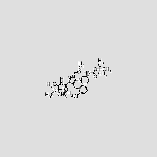 COCn1nc(C(=O)NC(C)C(C)(OC)OC)c(Cc2ccccc2Cl)c1N1CCC[C@@H](NC(=O)OC(C)(C)C)C1